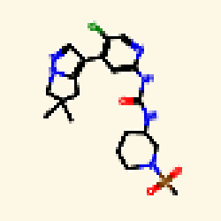 CC1(C)Cc2c(-c3cc(NC(=O)NC4CCCN(S(C)(=O)=O)C4)ncc3Cl)cnn2C1